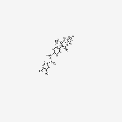 O=C(c1ccc(Cl)c(Cl)c1)C1CC1c1ccc(N2C(=O)C3C4C=CC(C5CC45)C3[C@@H]2O)c(F)c1